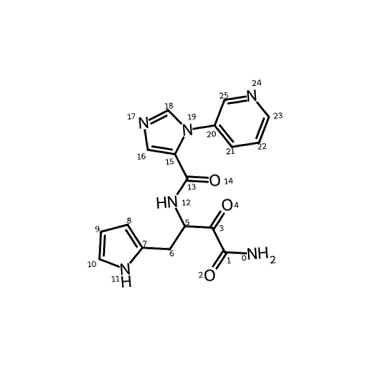 NC(=O)C(=O)C(Cc1ccc[nH]1)NC(=O)c1cncn1-c1cccnc1